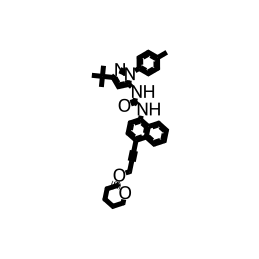 Cc1ccc(-n2nc(C(C)(C)C)cc2NC(=O)Nc2ccc(C#CCO[C@H]3CCCCO3)c3ccccc23)cc1